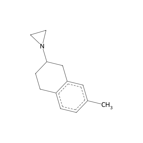 Cc1ccc2c(c1)CC(N1CC1)CC2